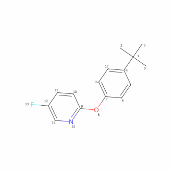 CC(C)(C)c1ccc(Oc2ccc(F)cn2)cc1